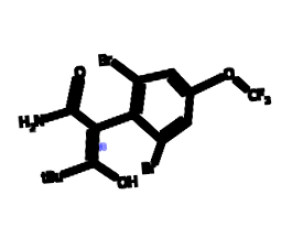 CC(C)(C)/C(O)=C(\C(N)=O)c1c(Br)cc(OC(F)(F)F)cc1Br